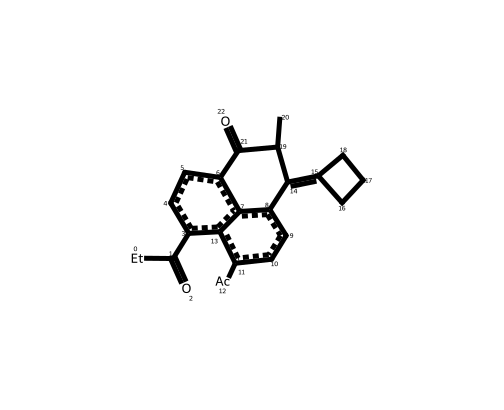 CCC(=O)c1ccc2c3c(ccc(C(C)=O)c13)C(=C1CCC1)C(C)C2=O